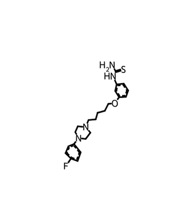 NC(=S)Nc1cccc(OCCCCCN2CCN(c3ccc(F)cc3)CC2)c1